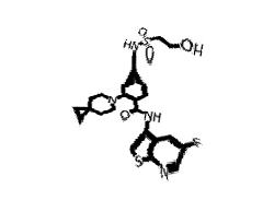 O=C(Nc1csc2ncc(F)cc12)c1ccc(NS(=O)(=O)CCO)cc1N1CCC2(CC1)CC2